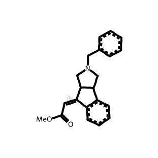 COC(=O)/C=C1\c2ccccc2C2CN(Cc3ccccc3)CC12